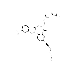 NCCCCC#Cc1ccc2c(c1)C(=O)N(CCC(=O)OC(=O)C(F)(F)F)CC(=O)N2Cc1cccc([N+](=O)[O-])c1